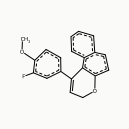 COc1ccc(C2=CCOc3ccc4ccccc4c32)cc1F